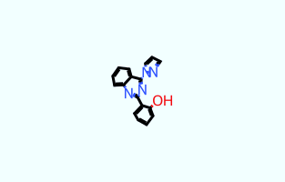 Oc1ccccc1-c1nc(-n2cccn2)c2ccccc2n1